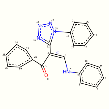 O=C(/C(=C\Nc1ccccc1)c1nnnn1-c1ccccc1)c1ccccc1